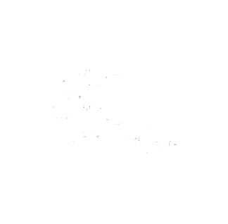 CC[C@@H](C)C(C(=O)O)n1cc(CCN2CC(F)C2)cc(F)c1=O